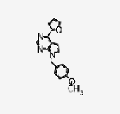 COc1ccc(Cn2ccc3c(-c4ccco4)ncnc32)cc1